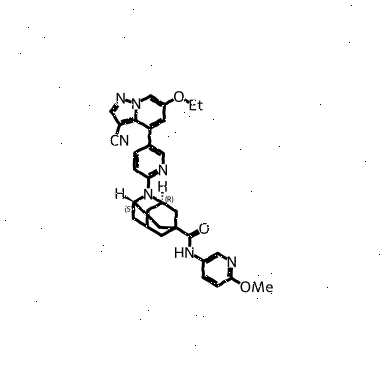 CCOc1cc(-c2ccc(N3[C@@H]4CC5C[C@H]3CC(C(=O)Nc3ccc(OC)nc3)(C5)C4)nc2)c2c(C#N)cnn2c1